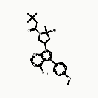 COc1ccc(-c2cn(C3CN(C(=O)CC(C)(C)C)C(C)(O)C3)c3ncnc(N)c23)cc1